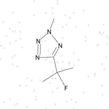 Cn1nnc(C(C)(C)F)n1